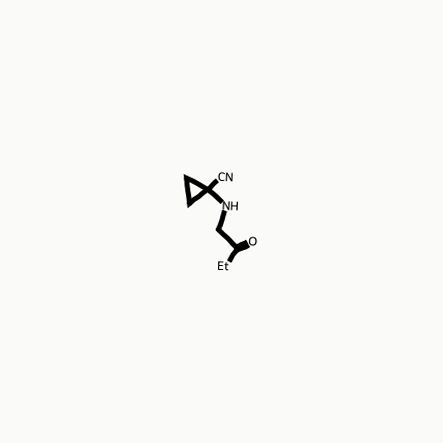 CCC(=O)CNC1(C#N)CC1